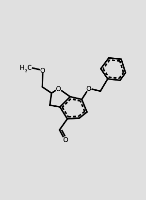 COCC1Cc2c(C=O)ccc(OCc3ccccc3)c2O1